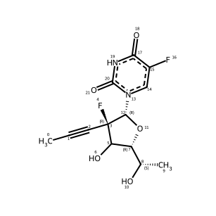 CC#C[C@@]1(F)C(O)[C@@H]([C@H](C)O)O[C@H]1n1cc(F)c(=O)[nH]c1=O